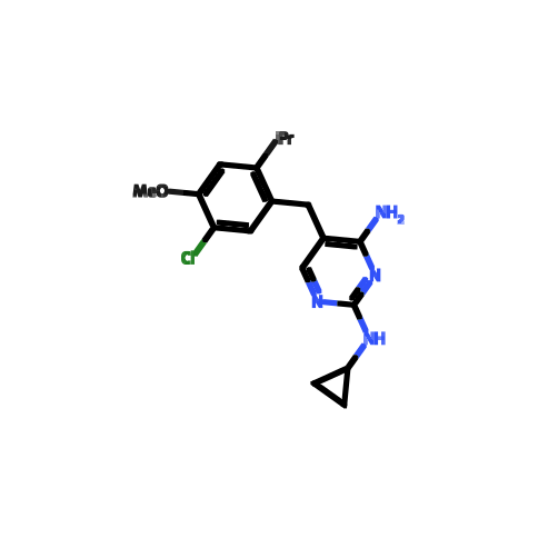 COc1cc(C(C)C)c(Cc2cnc(NC3CC3)nc2N)cc1Cl